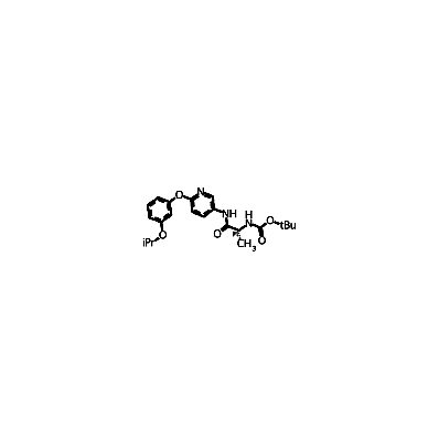 CC(C)Oc1cccc(Oc2ccc(NC(=O)[C@@H](C)NC(=O)OC(C)(C)C)cn2)c1